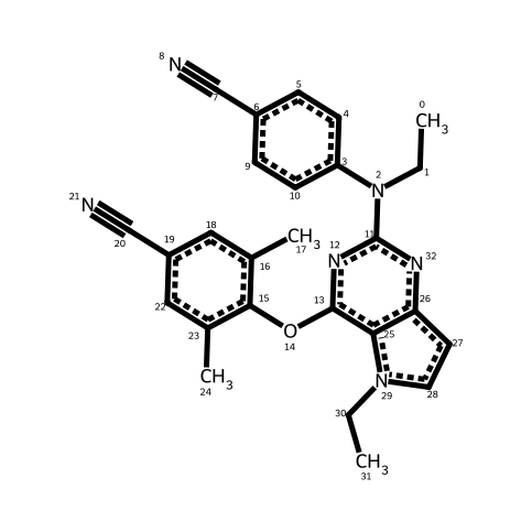 CCN(c1ccc(C#N)cc1)c1nc(Oc2c(C)cc(C#N)cc2C)c2c(ccn2CC)n1